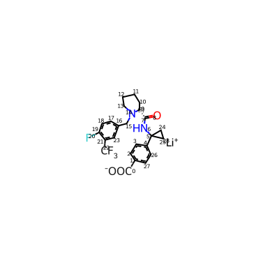 O=C([O-])c1ccc(C2(NC(=O)[C@H]3CCCCN3Cc3ccc(F)c(C(F)(F)F)c3)CC2)cc1.[Li+]